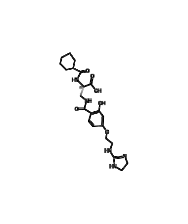 O=C(NC[C@H](NC(=O)C1CCCCC1)C(=O)O)c1ccc(OCCNC2=NCCN2)cc1O